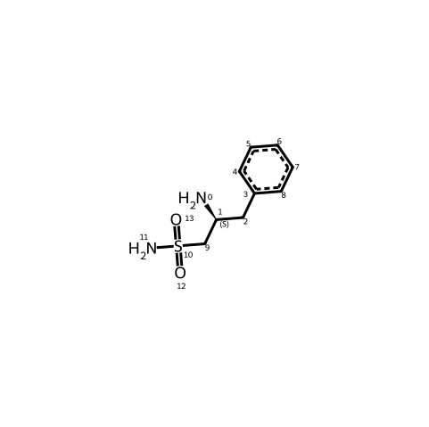 N[C@@H](Cc1ccccc1)CS(N)(=O)=O